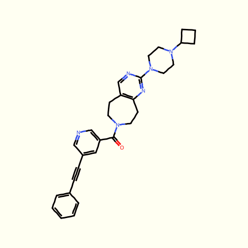 O=C(c1cncc(C#Cc2ccccc2)c1)N1CCc2cnc(N3CCN(C4CCC4)CC3)nc2CC1